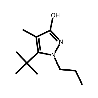 CCCn1nc(O)c(C)c1C(C)(C)C